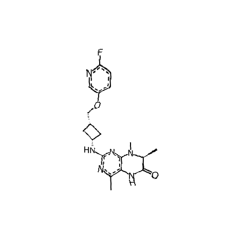 Cc1nc(N[C@H]2C[C@@H](COc3ccc(F)nc3)C2)nc2c1NC(=O)[C@H](C)N2C